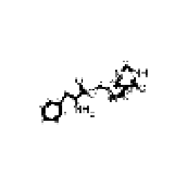 NC(Cc1ccccc1)C(=O)OCn1ncc2c(=O)[nH]cnc21